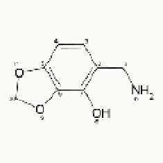 NCc1ccc2c(c1O)OCO2